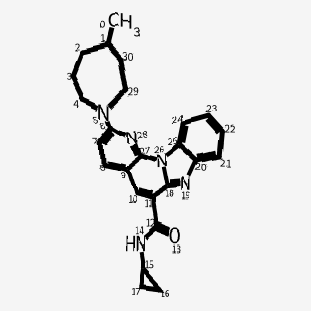 CC1CCCN(c2ccc3cc(C(=O)NC4CC4)c4nc5ccccc5n4c3n2)CC1